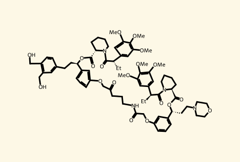 CC[C@H](C(=O)N1CCCC[C@H]1C(=O)O[C@H](CCc1ccc(CO)c(CO)c1)c1cccc(OCC(=O)CCCNC(=O)COc2cccc([C@@H](CCN3CCOCC3)OC(=O)[C@@H]3CCCCN3C(=O)[C@@H](CC)c3cc(OC)c(OC)c(OC)c3)c2)c1)c1cc(OC)c(OC)c(OC)c1